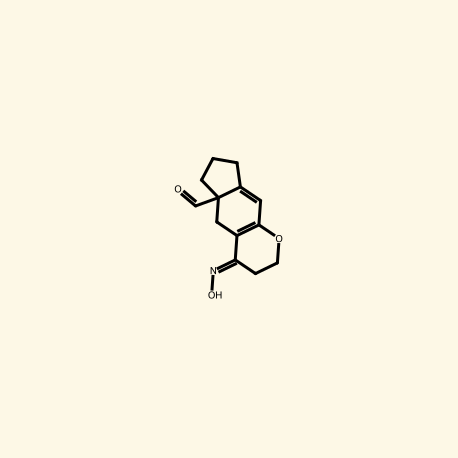 O=CC12CCCC1=CC1=C(C2)C(=NO)CCO1